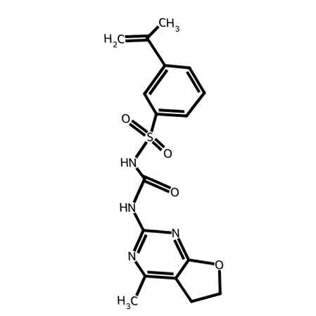 C=C(C)c1cccc(S(=O)(=O)NC(=O)Nc2nc(C)c3c(n2)OCC3)c1